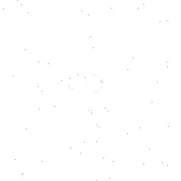 c1ccc(-c2nc(-c3ccc4sc5ccccc5c4c3)nc(-c3cccc4oc5ccc(-n6c7ccccc7c7ccc8c(c76)-c6ccccc6C86c7ccccc7-c7ccccc76)cc5c34)n2)cc1